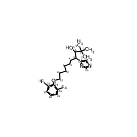 CC(C)(C)C(O)C(CCCCCCOc1c(F)cccc1F)n1cncn1